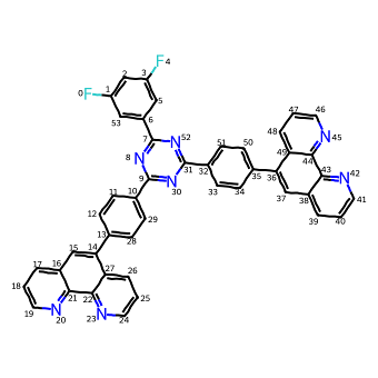 Fc1cc(F)cc(-c2nc(-c3ccc(-c4cc5cccnc5c5ncccc45)cc3)nc(-c3ccc(-c4cc5cccnc5c5ncccc45)cc3)n2)c1